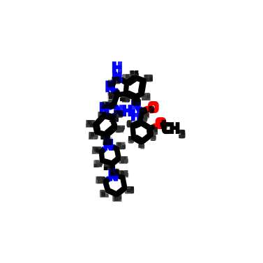 COc1ccccc1C(=O)Nc1cccc2[nH]nc(-c3nc4ccc(N5CCC(N6CCCCC6)CC5)cc4[nH]3)c12